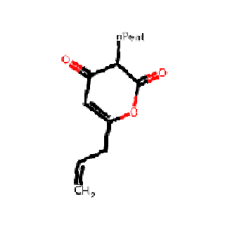 C=CCC1=CC(=O)C(CCCCC)C(=O)O1